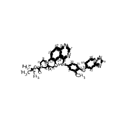 Cc1cc(Nc2ncnc3ccc4c(c23)OC[C@@H]2CN(C(=O)OC(C)(C)C)CCN42)ccc1Oc1ccn2ncnc2c1